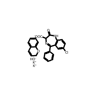 C1=Cc2ccccc2OC1.O=C([O-])C1N=C(c2ccccc2)c2cc(Cl)ccc2NC1=O.[K+].[K+].[OH-]